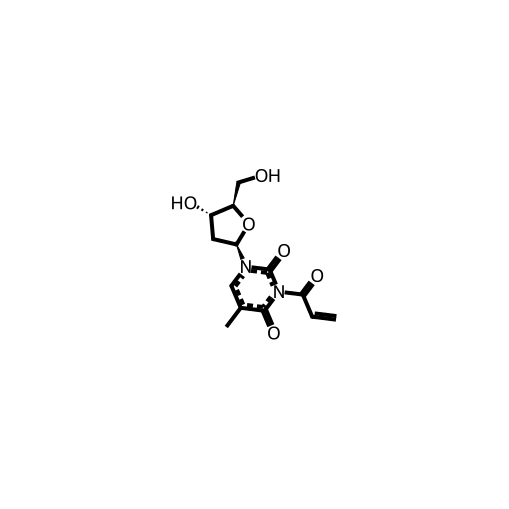 C=CC(=O)n1c(=O)c(C)cn([C@H]2C[C@H](O)[C@@H](CO)O2)c1=O